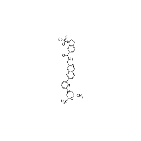 CCS(=O)(=O)N1CCc2ccc(C(=O)NCc3cc4nc(-c5cccc(N6C[C@@H](C)O[C@@H](C)C6)n5)ccc4cn3)cc21